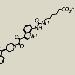 [C-]#[N+]C(=C1CCN(C(=O)C(=O)c2c[nH]c3c(NC(=O)NCCCCCC(=O)O)cccc23)CC1)c1ccccc1